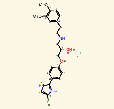 COc1ccc(CCNC[C@H](O)COc2ccc(-c3nc(Cl)c[nH]3)cc2)cc1OC.Cl.Cl